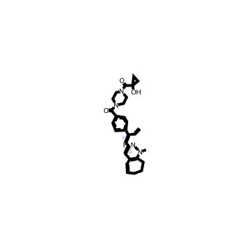 C=C/C(=C\C=C\C1=C(N(C)N)CCCC=C1)c1ccc(C(=O)N2CCN(C(=O)C3(O)CC3)CC2)cc1